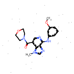 Cn1cnc2c(Nc3cccc(OC(F)(F)F)c3)ncc(C(=O)N3CCOCC3)c21